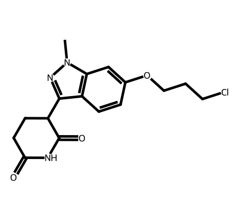 Cn1nc(C2CCC(=O)NC2=O)c2ccc(OCCCCl)cc21